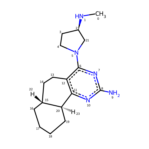 CN[C@@H]1CCN(c2nc(N)nc3c2CC[C@H]2CCCC[C@H]32)C1